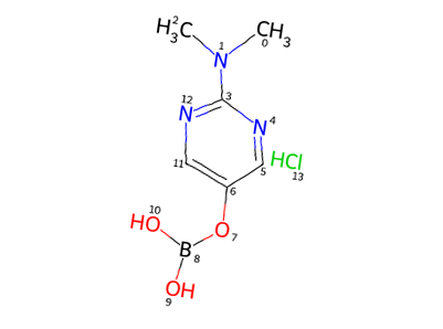 CN(C)c1ncc(OB(O)O)cn1.Cl